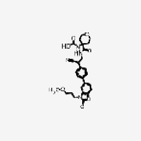 COCCCn1c(=O)oc2ccc(-c3ccc(C(C#N)CNC(=O)C4(NC(=O)O)CCOCC4)cc3)cc21